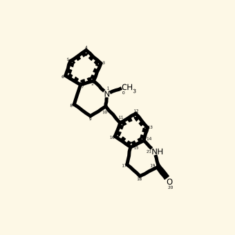 CN1c2ccccc2CCC1c1ccc2c(c1)CCC(=O)N2